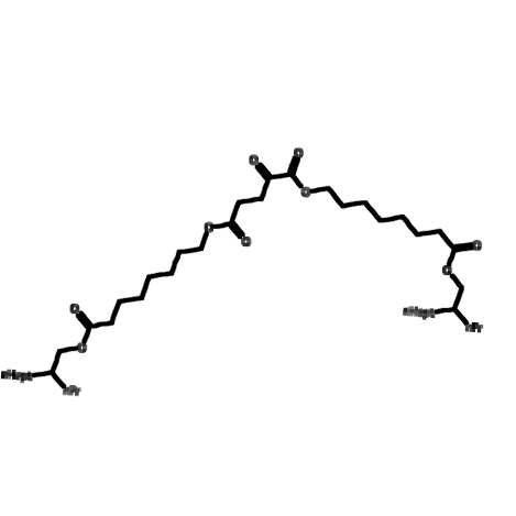 CCCCCCCC(CCC)COC(=O)CCCCCCCOC(=O)CCC(=O)C(=O)OCCCCCCCC(=O)OCC(CCC)CCCCCCC